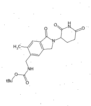 Cc1cc2c(cc1CNC(=O)OC(C)(C)C)CN(C1CCC(=O)NC1=O)C2=O